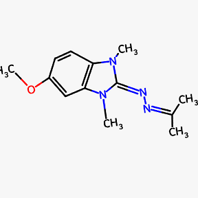 COc1ccc2c(c1)n(C)c(=NN=C(C)C)n2C